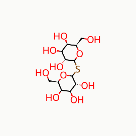 OC[C@H]1OC(SC2O[C@H](CO)[C@H](O)[C@H](O)[C@H]2O)[C@H](O)[C@@H](O)[C@H]1O